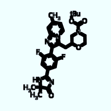 Cc1ccn2c(CC3CN(C(=O)OC(C)(C)C)CCO3)c(-c3c(F)cc(C4=NC(=O)C(C)(C)N4)cc3F)nc2c1